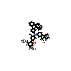 Cc1cc2c(cc1N(c1ccc3c(c1)C(C)(C)c1ccccc1-3)c1ccc3c(c1)C1(c4ccccc4-3)C3CC4CC(C3)CC1C4)oc1cc(C(C)(C)C)cc(C(C)(C)C)c12